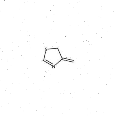 C=C1CS[C]=N1